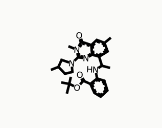 Cc1cc(C(C)Nc2ccccc2C(=O)OC(C)(C)C)c2nc(N3CCC(C)C3)n(C)c(=O)c2c1